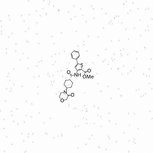 COC(=O)c1sc(-c2ccccc2)cc1NC(=O)[C@H]1CC[C@H](N2CCOCC2=O)CC1